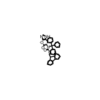 [O]C(=O)[C@H](Cc1cnc[nH]1)N(C(=O)OCC1c2ccccc2-c2ccccc21)C(c1ccccc1)(c1ccccc1)c1ccccc1